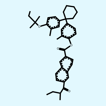 CCC(C)C(=O)c1ccc2cc(C(=O)Oc3ccc(C4(c5ccc(OC(C)(C)CC)c(C)c5)CCCCC4)cc3C)ccc2c1